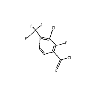 O=C(Cl)c1ccc(C(F)(F)F)c(Cl)c1F